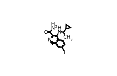 CC(Nc1c(C(N)=O)nnc2cc(I)ccc12)C1CC1